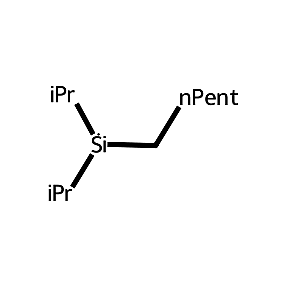 CCCCCC[Si](C(C)C)C(C)C